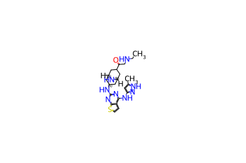 CCNCC(=O)C1C[C@@H]2C[C@@H](Nc3nc(Nc4cc(C)[nH]n4)c4ccsc4n3)C[C@H](C1)N2